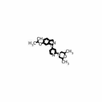 CC(C)Oc1ccc2cnn(-c3ccnc(N4CC(C)OC(C)C4)c3)c2c1